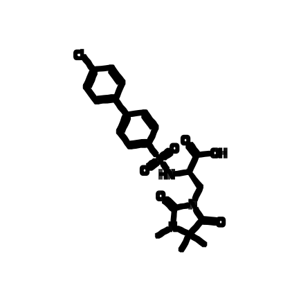 CN1C(=O)N(C[C@@H](NS(=O)(=O)c2ccc(-c3ccc(Cl)cc3)cc2)C(=O)O)C(=O)C1(C)C